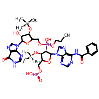 CC(C)(C)[Si](C)(C)O[C@@H]1C(CO[PH](O)(OCCC#N)[C@H]2C(n3cnc4c(NC(=O)c5ccccc5)ncnc43)OC(CO[PH](=O)O)[C@H]2O[Si](C)(C)C(C)(C)C)OC(n2cnc3c(=O)[nH]cnc32)[C@@H]1O